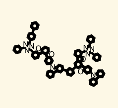 c1ccc(-c2ccc(-c3nc(-c4ccccc4)nc(-c4cccc5c4oc4ccc6oc7cc(-n8c9ccccc9c9cc(-c%10cccc(-c%11cc%12c%13cccc(-c%14nc(-c%15ccccc%15)nc(-c%15ccccc%15)n%14)c%13oc%12c%12c%11oc%11cc(-n%13c%14ccccc%14c%14ccccc%14%13)ccc%11%12)c%10)ccc98)ccc7c6c45)n3)cc2)cc1